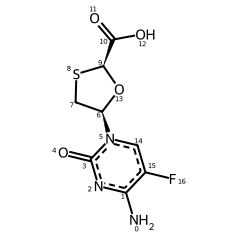 Nc1nc(=O)n([C@H]2CS[C@@H](C(=O)O)O2)cc1F